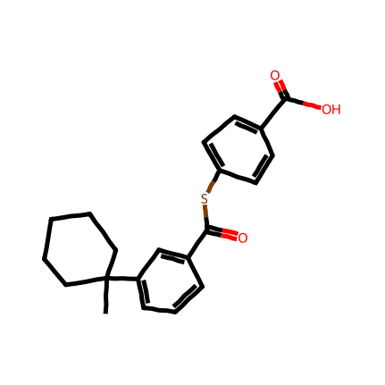 CC1(c2cccc(C(=O)Sc3ccc(C(=O)O)cc3)c2)CCCCC1